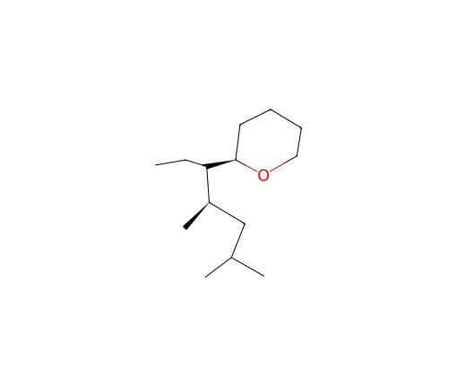 CCC([C@H](C)CC(C)C)[C@H]1CCCCO1